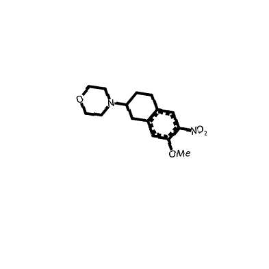 COc1cc2c(cc1[N+](=O)[O-])CCC(N1CCOCC1)C2